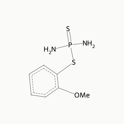 COc1ccccc1SP(N)(N)=S